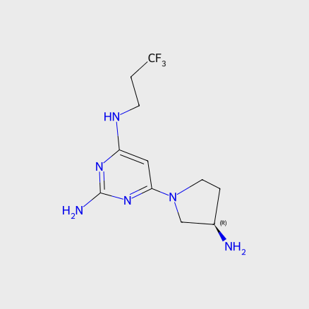 Nc1nc(NCCC(F)(F)F)cc(N2CC[C@@H](N)C2)n1